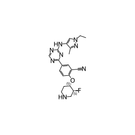 CCn1cc(Nc2ncnc(-c3ccc(O[C@H]4CCNC[C@@H]4F)c(C#N)c3)n2)c(C)n1